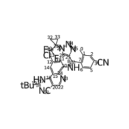 Cc1cc(C#N)ccc1[C@H](Nc1cc(Cl)cc2c(NCC(C)(C)C)c(C#N)cnc12)c1cn(C2(C(F)F)CC2)nn1